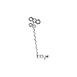 O=C(O)CCCCCCCCCCCCCCCOC(=O)c1c2ccccc2cc2ccccc12